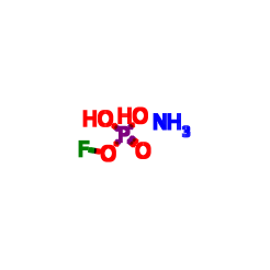 N.O=P(O)(O)OF